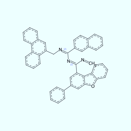 C=N/C(=N\C(=N/Cc1cc2ccccc2c2ccccc12)c1ccc2ccccc2c1)c1cc(-c2ccccc2)cc2oc3ccccc3c12